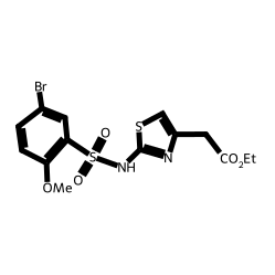 CCOC(=O)Cc1csc(NS(=O)(=O)c2cc(Br)ccc2OC)n1